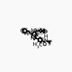 Cc1cc(-c2cnn3c(NCC4CCOCC4)cc(NC4CC5(COC5)C4)nc23)ccc1C(=O)NC1CC1